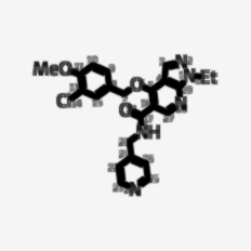 CCn1ncc2c(OCc3ccc(OC)c(Cl)c3)c(C(=O)NCc3ccncc3)cnc21